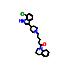 O=C(CCCCN1CCC(c2c[nH]c3c(Cl)cccc23)CC1)N1CCCc2ccccc21